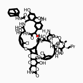 CC(C)C[C@H](C(=O)N[C@H]1C(=O)N[C@@H](CC(N)=O)C(=O)N[C@H]2C(=O)N[C@H]3C(=O)NC(C(O)N[C@H](C(=O)NC4C5CC6CC(C5)CC4C6)c4cc(O)cc(O)c4-c4cc3ccc4O)[C@H](O)c3ccc(c(Cl)c3)Oc3cc2cc(c3OC2OC3CNC(=O)OC3C(O)C2O)Oc2ccc(cc2Cl)[C@H]1O)N(C)C(=O)OC(C)(C)C